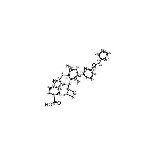 O=C(O)c1ccc2nc(Cc3cc(F)c(-c4cccc(OCc5cnco5)n4)cc3F)n(CC3CCO3)c2c1